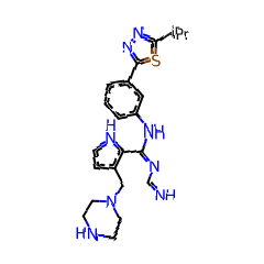 CC(C)c1nnc(-c2cccc(N/C(=N/C=N)c3[nH]ccc3CN3CCNCC3)c2)s1